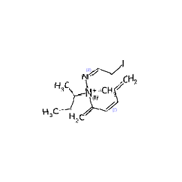 C=C/C=C\C(=C)[N@+](C)(/N=C\CI)C(C)CC